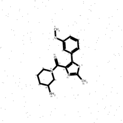 COc1cccc(-c2sc(C)nc2C(=O)N2CCCC(N)C2)c1